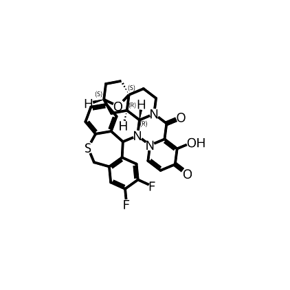 O=C1c2c(O)c(=O)ccn2N(C2c3cc(F)c(F)cc3CSc3ccccc32)[C@@H]2[C@H]3C[C@@H]4CC[C@@]3(CCN12)O4